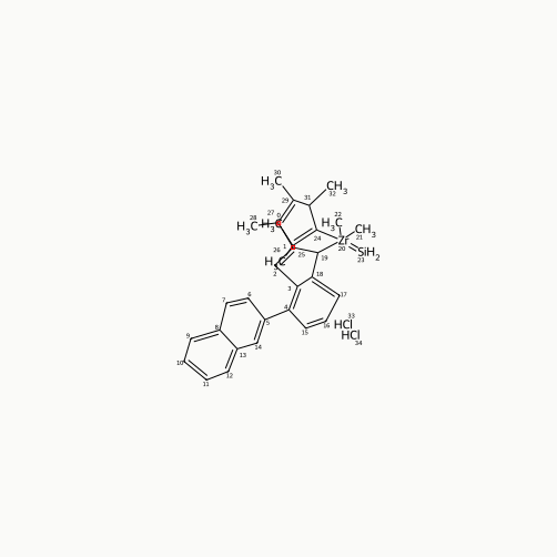 CC1=Cc2c(-c3ccc4ccccc4c3)cccc2[CH]1[Zr]([CH3])([CH3])(=[SiH2])[C]1=C(C)C(C)=C(C)C1C.Cl.Cl